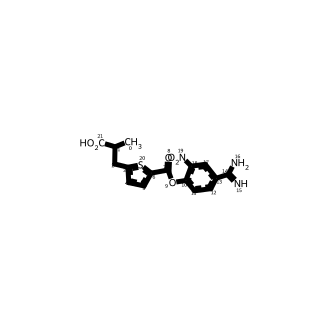 CC(Cc1ccc(C(=O)Oc2ccc(C(=N)N)cc2[N+](=O)[O-])s1)C(=O)O